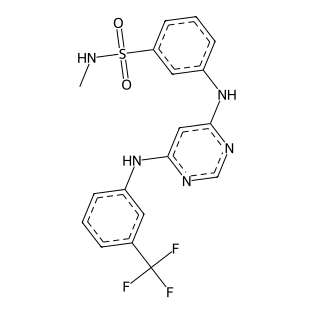 CNS(=O)(=O)c1cccc(Nc2cc(Nc3cccc(C(F)(F)F)c3)ncn2)c1